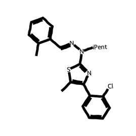 CCCC(C)N(/N=C/c1ccccc1C)c1nc(-c2ccccc2Cl)c(C)s1